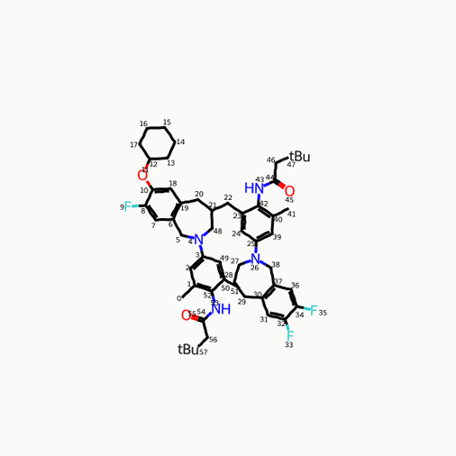 Cc1cc(N2Cc3cc(F)c(OC4CCCCC4)cc3CC(Cc3cc(N4CCCc5cc(F)c(F)cc5C4)cc(C)c3NC(=O)CC(C)(C)C)C2)cc(C)c1NC(=O)CC(C)(C)C